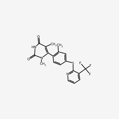 Cc1cc(Sc2ncccc2C(F)(F)F)ccc1-c1c(C)c(=O)[nH]c(=O)n1C